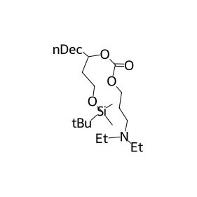 CCCCCCCCCCC(CCO[Si](C)(C)C(C)(C)C)OC(=O)OCCCN(CC)CC